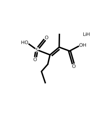 CCCC(=C(C)C(=O)O)S(=O)(=O)O.[LiH]